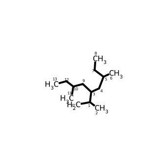 [CH2]C(C)C(CC(C)CC)CC(C)CC